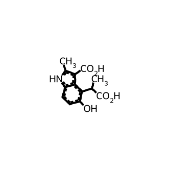 Cc1[nH]c2ccc(O)c(C(C)C(=O)O)c2c1C(=O)O